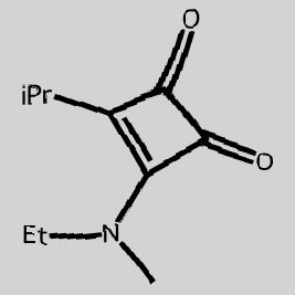 CCN(C)c1c(C(C)C)c(=O)c1=O